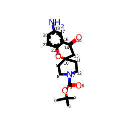 CC(C)(C)OC(=O)N1CCC2(CC1)CC(=O)c1cc(N)ccc1O2